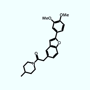 COc1ccc(-c2cc3cc(CC(=O)N4CCC(C)CC4)ccc3o2)cc1OC